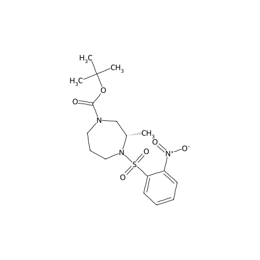 C[C@H]1CN(C(=O)OC(C)(C)C)CCCN1S(=O)(=O)c1ccccc1[N+](=O)[O-]